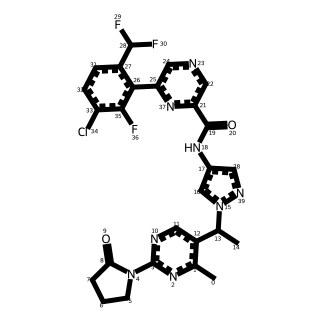 Cc1nc(N2CCCC2=O)ncc1C(C)n1cc(NC(=O)c2cncc(-c3c(C(F)F)ccc(Cl)c3F)n2)cn1